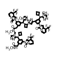 CNC(=O)Cc1cc([C@H](c2nncn2CN(C)C(=O)Cc2cc([C@@H](c3nncn3C)C3CCC3n3cc(-c4cc([C@H](c5nncn5C)C5CCC5)cc(-n5cc6c(C(F)(F)F)cccn6c5=O)c4)nn3)cc(-n3cc4c(C(F)(F)F)cccn4c3=O)c2)C2CCC2)cc(-n2cc3c(C(F)(F)F)cccn3c2=O)c1